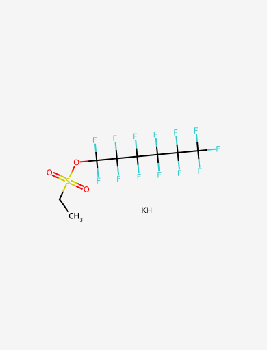 CCS(=O)(=O)OC(F)(F)C(F)(F)C(F)(F)C(F)(F)C(F)(F)C(F)(F)F.[KH]